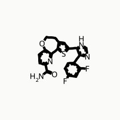 NC(=O)c1ccc2c(n1)-c1sc(-c3[nH]cnc3-c3ccc(F)cc3F)cc1CCO2